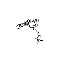 CC[C@H](O)[C@@H](C)[C@H]1O[C@@H]1C[C@H](C)/C=C/C=C(\C)[C@H]1OC(=O)C[C@H](O)CC[C@@](C)(O)[C@@H](OC(=O)N2CC[N+]3(CCCCCC3)CC2)/C=C/[C@@H]1C